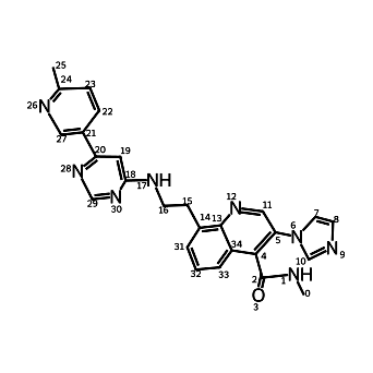 CNC(=O)c1c(-n2ccnc2)cnc2c(CCNc3cc(-c4ccc(C)nc4)ncn3)cccc12